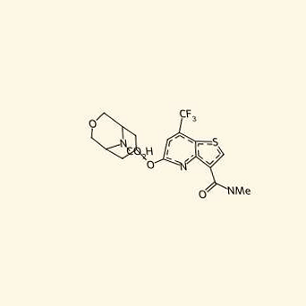 CNC(=O)c1csc2c(C(F)(F)F)cc(OC3CC4COCC(C3)N4C(=O)O)nc12